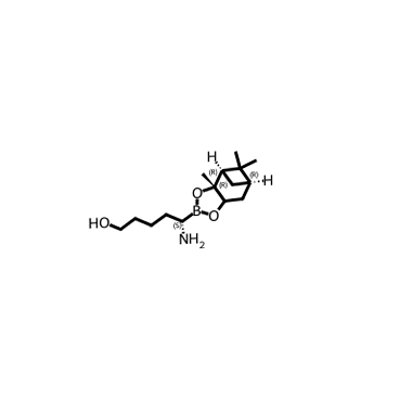 CC1(C)[C@H]2CC3OB([C@H](N)CCCCO)O[C@]3(C)[C@@H]1C2